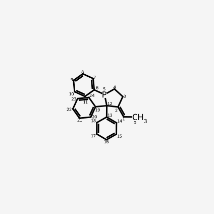 CC=C1CCP(c2ccccc2)C1(c1ccccc1)c1ccccc1